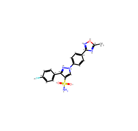 NS(=O)(=O)c1cn(-c2ccc(-c3noc(C(F)(F)F)n3)cc2)nc1-c1ccc(F)cc1